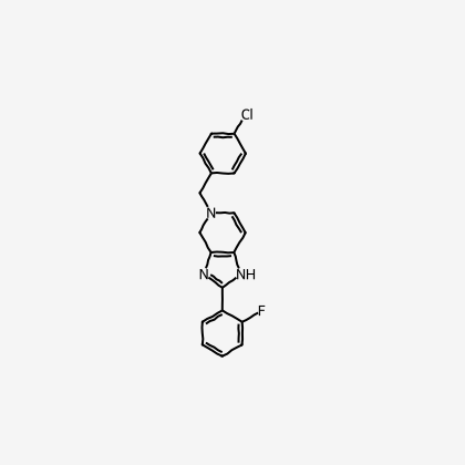 Fc1ccccc1-c1nc2c([nH]1)C=CN(Cc1ccc(Cl)cc1)C2